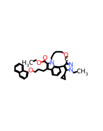 CCOC(=O)c1c(CCCOc2cccc3ccccc23)c2cccc3c2n1CCCCOCc1nn(CC)c(C2CC2)c1-3